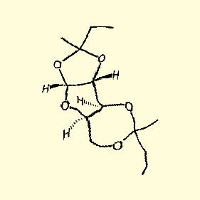 CCC1(C)OC[C@H]2O[C@@H]3OC(C)(CC)O[C@@H]3[C@H]2O1